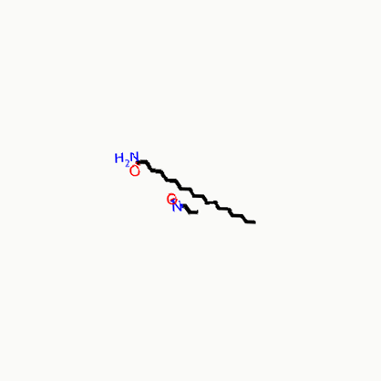 CCCCCCCCCCCCCCCCCC(N)=O.CCCN=O